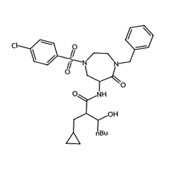 CCCCC(O)C(CC1CC1)C(=O)NC1CN(S(=O)(=O)c2ccc(Cl)cc2)CCN(Cc2ccccc2)C1=O